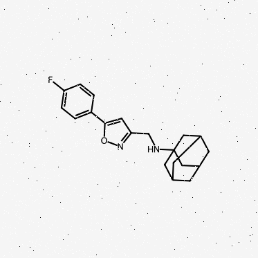 Fc1ccc(-c2cc(CNC34CC5CC(CC(C5)C3)C4)no2)cc1